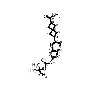 CC(C)(C)OC(=O)Nc1nc2ncc(C3CC4(CC(C(N)=O)C4)C3)nc2s1